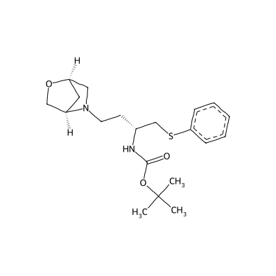 CC(C)(C)OC(=O)N[C@H](CCN1C[C@H]2C[C@@H]1CO2)CSc1ccccc1